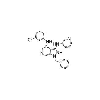 Clc1cccc(NN2C=NC=C3C2=C(Nc2cccnc2)NN3Cc2ccccc2)c1